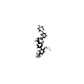 C[C@@H](NC(=O)c1cccc(N2CCOCC2)n1)c1ccc(-c2cc(C(F)(F)F)ccc2CN)cc1